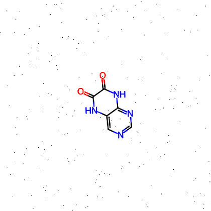 O=c1[nH]c2cncnc2[nH]c1=O